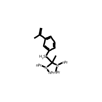 C=C(C)c1cccc([SiH2]C(C)(N(CCC)CCC)N(CCC)CCC)c1